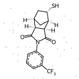 O=C1[C@@H]2[C@H]3C[C@H](C[C@@H]3S)[C@@H]2C(=O)N1c1cccc(C(F)(F)F)c1